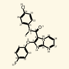 CN(C(=O)c1c(Oc2ccc(F)cc2)nc2ncccn12)c1ccc(Cl)cc1